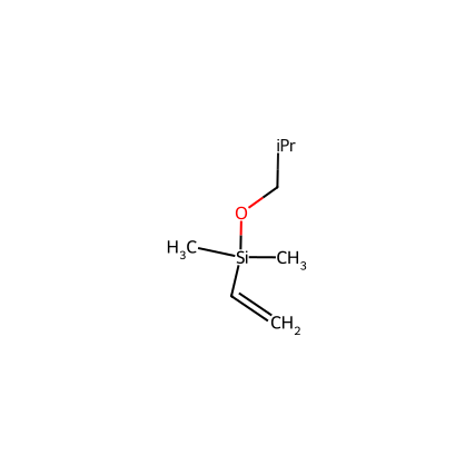 C=C[Si](C)(C)OCC(C)C